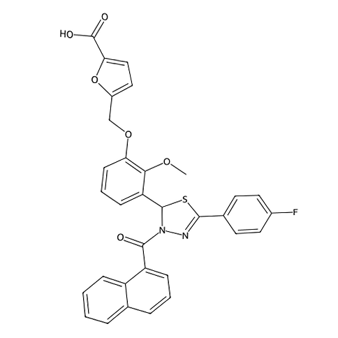 COc1c(OCc2ccc(C(=O)O)o2)cccc1C1SC(c2ccc(F)cc2)=NN1C(=O)c1cccc2ccccc12